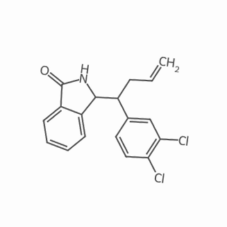 C=CCC(c1ccc(Cl)c(Cl)c1)C1NC(=O)c2ccccc21